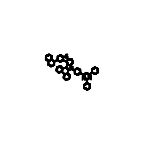 C1=CCC(c2cc(-c3ccc(-n4c5ccc6sc7ccc(-c8cccc9ccccc89)cc7c6c5c5c6ccccc6c6ccccc6c54)cc3)nc(-c3ccccc3)n2)C=C1